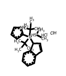 C[SiH](C)[Ti]([c]1ccc[nH]1)([CH]1C=Cc2ccccc21)([C](C)(C)C)[C](C)(C)C.Cl.Cl